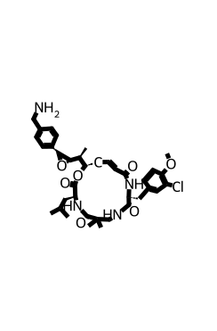 COc1ccc(C[C@H]2NC(=O)/C=C/C[C@@H]([C@H](C)[C@H]3O[C@@H]3c3ccc(CN)cc3)OC(=O)[C@H](CC(C)C)NC(=O)C(C)(C)CNC2=O)cc1Cl